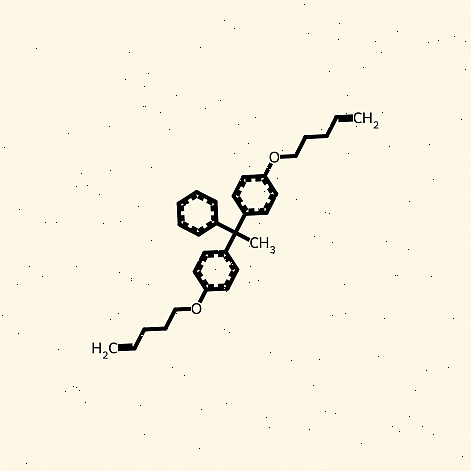 C=CCCCOc1ccc(C(C)(c2ccccc2)c2ccc(OCCCC=C)cc2)cc1